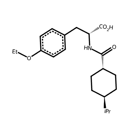 CCOc1ccc(C[C@@H](NC(=O)[C@H]2CC[C@H](C(C)C)CC2)C(=O)O)cc1